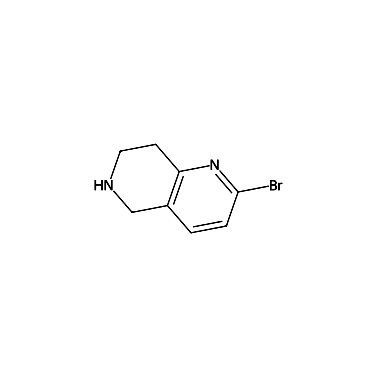 Brc1ccc2c(n1)CCNC2